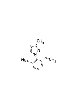 C=Cc1cccc(C#N)c1-n1cnc(C)n1